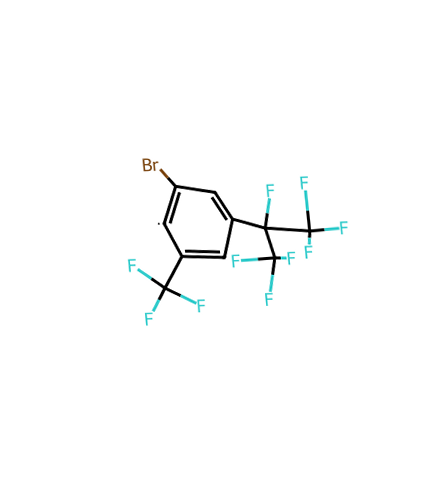 FC(F)(F)c1[c]c(Br)cc(C(F)(C(F)(F)F)C(F)(F)F)c1